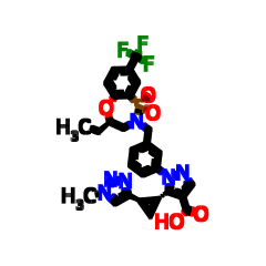 CC[C@@H]1CN(Cc2cccc(-n3ncc(C(=O)O)c3[C@@H]3C[C@H]3c3cn(C)nn3)c2)S(=O)(=O)c2cc(C(F)(F)F)ccc2O1